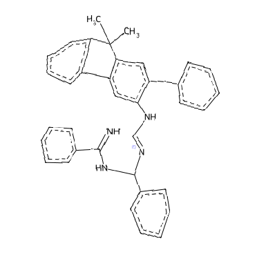 CC1(C)c2ccccc2-c2cc(N/C=N/C(NC(=N)c3ccccc3)c3ccccc3)c(-c3ccccc3)cc21